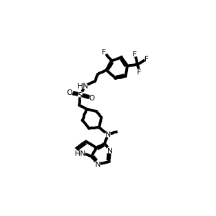 CN(c1ncnc2[nH]ccc12)C1CCC(CS(=O)(=O)NCCc2ccc(C(F)(F)F)cc2F)CC1